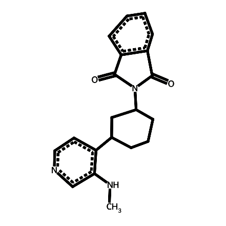 CNc1cnccc1C1CCCC(N2C(=O)c3ccccc3C2=O)C1